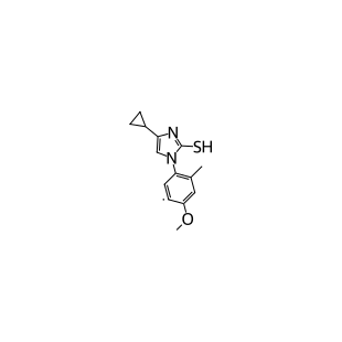 COc1[c]cc(-n2cc(C3CC3)nc2S)c(C)c1